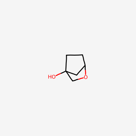 OC12CCC(C1)OC2